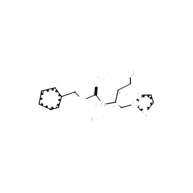 Cl.NC[C@@H](O)[C@@H](Cn1nccn1)NC(=O)OCc1ccccc1